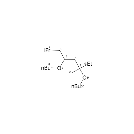 [CH2]CC(C)(CC(CC(C)C)OCCCC)OCCCC